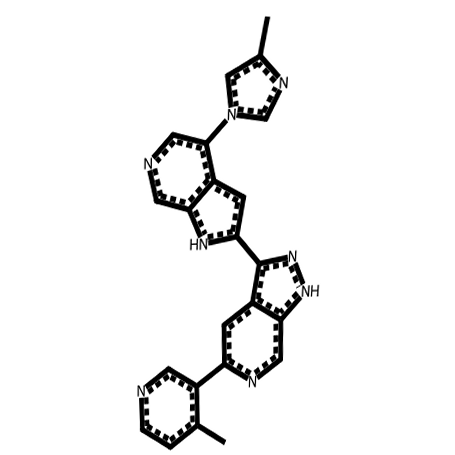 Cc1cn(-c2cncc3[nH]c(-c4n[nH]c5cnc(-c6cnccc6C)cc45)cc23)cn1